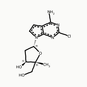 C[C@]1(CO)O[C@@H](n2ccc3c(N)nc(Cl)nc32)C[C@@H]1O